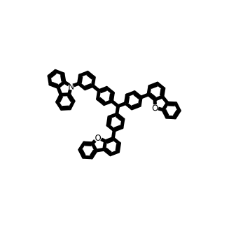 c1cc(-c2ccc(C(c3ccc(-c4cccc5c4oc4ccccc45)cc3)c3ccc(-c4cccc5c4oc4ccccc45)cc3)cc2)cc(-n2c3ccccc3c3ccccc32)c1